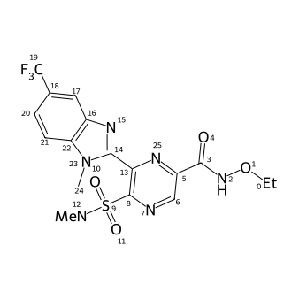 CCONC(=O)c1cnc(S(=O)(=O)NC)c(-c2nc3cc(C(F)(F)F)ccc3n2C)n1